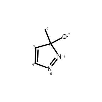 CC1([O])C=CN=N1